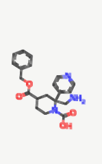 NCC1(c2ccncc2)CC(C(=O)OCc2ccccc2)CCN1C(=O)O